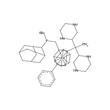 CC(C)(C)P(C[C]12[CH]3[C]4(c5ccccc5)[CH]5[C]1(C(P)(C1CNCCN1)C1CNCCN1)[Fe]35421678[CH]2[CH]1[CH]6[CH]7[CH]28)C1C2CC3CC(C2)CC1C3